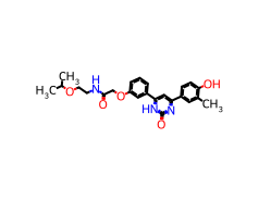 Cc1cc(-c2cc(-c3cccc(OCC(=O)NCCOC(C)C)c3)[nH]c(=O)n2)ccc1O